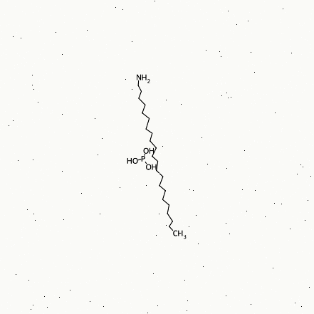 CCCCCCCCCCCCCCCCCCCCCCN.OP(O)O